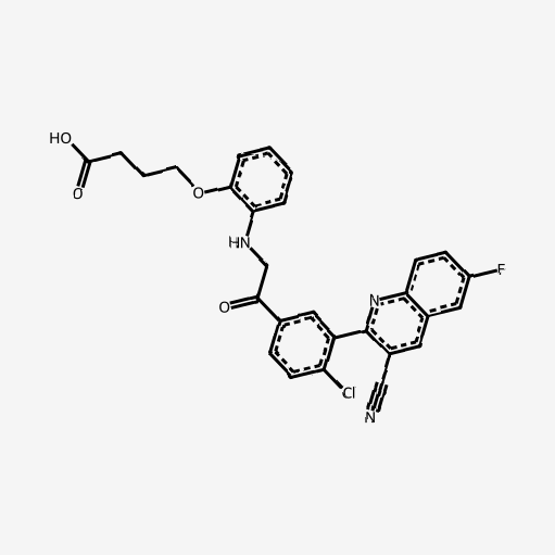 N#Cc1cc2cc(F)ccc2nc1-c1cc(C(=O)CNc2ccccc2OCCCC(=O)O)ccc1Cl